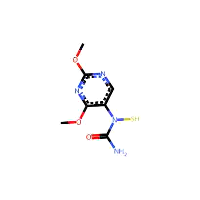 COc1ncc(N(S)C(N)=O)c(OC)n1